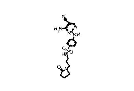 N#Cc1cnc(Nc2ccc(S(=O)(=O)NCCCN3CCCC3=O)cc2)nc1N